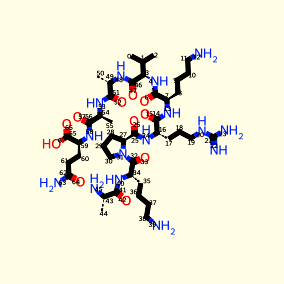 CC(C)[C@H](NC(=O)[C@@H](CCCCN)NC(=O)[C@H](CCCNC(=N)N)NC(=O)[C@@H]1CCCN1C(=O)[C@H](CCCCN)NC(=O)[C@H](C)N)C(=O)N[C@@H](C)C(=O)N[C@@H](C)C(=O)N[C@@H](CCC(N)=O)C(=O)O